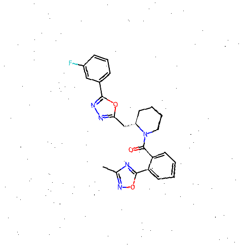 Cc1noc(-c2ccccc2C(=O)N2CCCC[C@H]2Cc2nnc(-c3cccc(F)c3)o2)n1